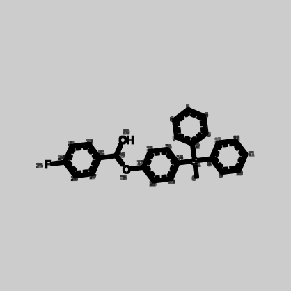 CS(c1ccccc1)(c1ccccc1)c1ccc(OC(O)c2ccc(F)cc2)cc1